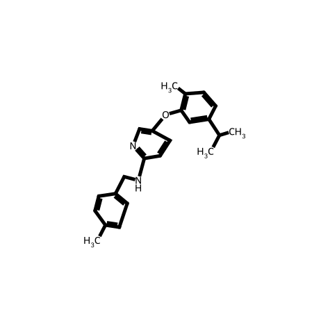 Cc1ccc(CNc2ccc(Oc3cc(C(C)C)ccc3C)cn2)cc1